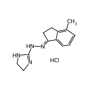 Cc1cccc2c1CCC2=NNC1=NCCN1.Cl